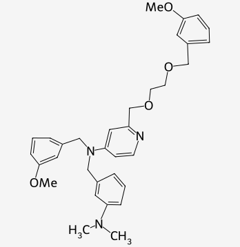 COc1cccc(COCCOCc2cc(N(Cc3cccc(OC)c3)Cc3cccc(N(C)C)c3)ccn2)c1